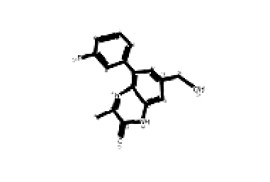 Cc1nc2c(-c3cccc(F)c3)cc(CO)cc2[nH]c1=O